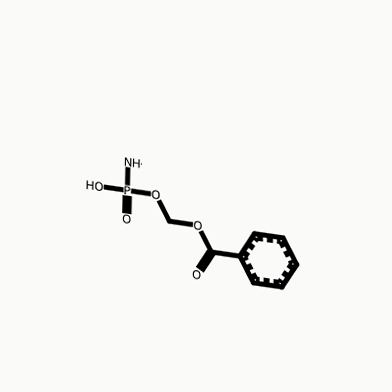 [NH]P(=O)(O)OCOC(=O)c1ccccc1